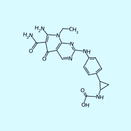 CCn1c(N)c(C(N)=O)c(=O)c2cnc(Nc3ccc(C4CC4NC(=O)O)cc3)nc21